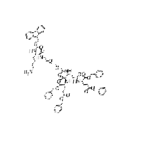 NCCCCC(NC(=O)OCC1c2ccccc2-c2ccccc21)C(=O)NCCOCCOCC(=O)NC(CCC(=O)NC(CCC(=O)OCc1ccccc1)C(=O)OCc1ccccc1)C(=O)NC(CCC(=O)OCc1ccccc1)C(=O)OCc1ccccc1